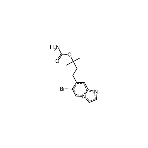 CC(C)(CCc1cc2nccn2cc1Br)OC(N)=O